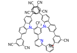 N#Cc1cc(C#N)cc(-c2ccc3c4ccc(-c5cc(C#N)cc(C#N)c5)cc4n(-c4cc(-c5cccc(-c6ccccc6)n5)cc(-n5c6cc(-c7cc(C#N)cc(C#N)c7)ccc6c6ccc(-c7cc(C#N)cc(C#N)c7)cc65)c4C(F)(F)F)c3c2)c1